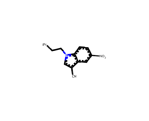 CC(C)CCn1cc(C#N)c2cc([N+](=O)[O-])ccc21